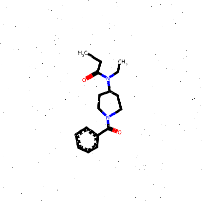 CCC(=O)N(CC)C1CCN(C(=O)c2ccccc2)CC1